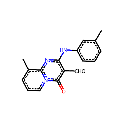 Cc1cccc(Nc2nc3c(C)cccn3c(=O)c2C=O)c1